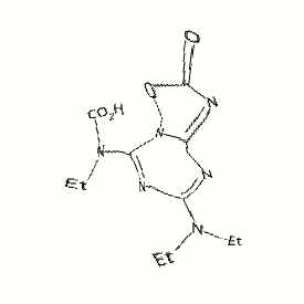 CCN(CC)c1nc(N(CC)C(=O)O)n2oc(=O)nc2n1